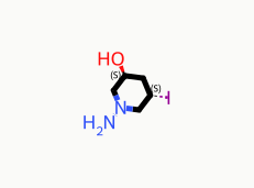 NN1C[C@@H](O)C[C@H](I)C1